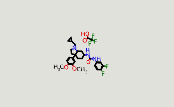 COc1ccc(C23CCC(NC(=O)Nc4ccc(F)c(F)c4)CC2N(CC2CC2)CC3)cc1OC.O=C(O)C(F)(F)F